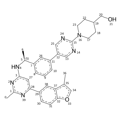 Cc1nc(N[C@@H](C)c2cccc(-c3cnc(N4CCC(CO)CC4)nc3)c2)cc(-c2ccc3occ(C)c3c2)n1